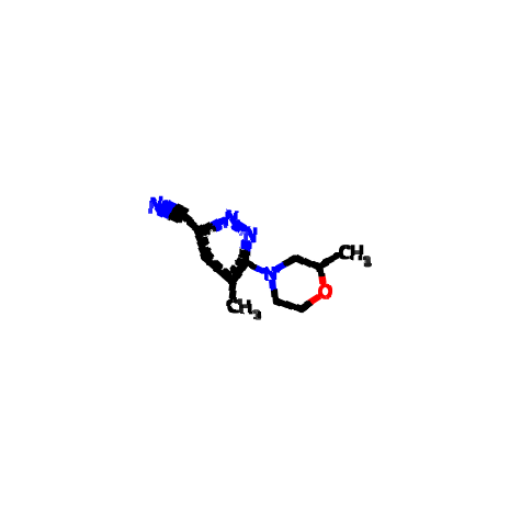 Cc1cc(C#N)nnc1N1CCOC(C)C1